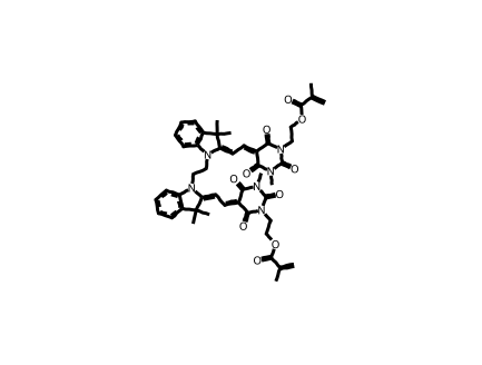 C=C(C)C(=O)OCCN1C(=O)/C(=C/C=C2/N(CCN3/C(=C/C=C4\C(=O)N(C)C(=O)N(CCOC(=O)C(=C)C)C4=O)C(C)(C)c4ccccc43)c3ccccc3C2(C)C)C(=O)N(C)C1=O